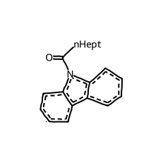 CCCCCCCC(=O)n1c2cc[c]cc2c2ccccc21